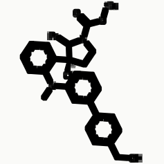 CC(C)C1N(C(=O)OC(C)(C)C)CC[C@]1(C=O)c1ccccc1N(C)c1cccc(-c2ccc(CO)cc2)c1